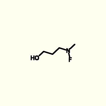 CN(F)CCCO